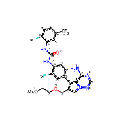 COCCOCc1cn2ncnc(N)c2c1-c1ccc(NC(=O)Nc2cc(C(F)(F)F)ccc2F)c(F)c1